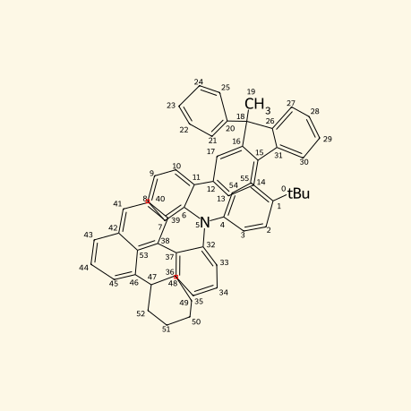 CC(C)(C)c1ccc(N(c2ccccc2-c2ccc3c(c2)C(C)(c2ccccc2)c2ccccc2-3)c2ccccc2-c2cccc3cccc(C4CCCCC4)c23)cc1